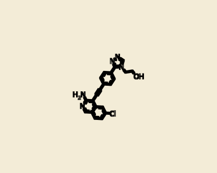 Nc1ncc2ccc(Cl)cc2c1C#Cc1ccc(-c2nncn2CCO)cc1